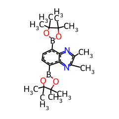 Cc1nc2c(B3OC(C)(C)C(C)(C)O3)ccc(B3OC(C)(C)C(C)(C)O3)c2nc1C